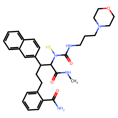 CNC(=O)C(C(CCc1ccccc1C(N)=O)c1ccc2ccccc2c1)N(S)C(=O)NCCCN1CCOCC1